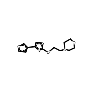 c1cc(-c2csc(OCCN3CCOCC3)n2)co1